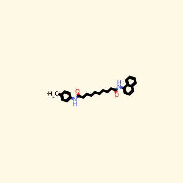 [CH2]c1ccc(NC(=O)CCCCCCCCC(=O)Nc2cccc3ccccc23)cc1